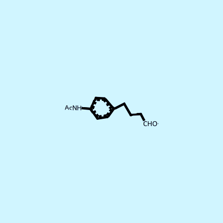 CC(=O)Nc1ccc(CCC[C]=O)cc1